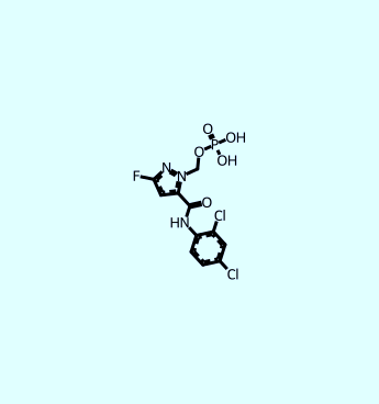 O=C(Nc1ccc(Cl)cc1Cl)c1cc(F)nn1COP(=O)(O)O